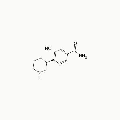 Cl.NC(=O)c1ccc([C@@H]2CCCNC2)cc1